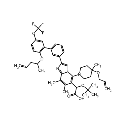 C=CCOC1(C)CCN(c2c(C(OC(C)(C)C)C(=O)O)c(C)c(C)c3nc(-c4cccc(-c5cc(OC(F)(F)F)ccc5OC(C)CC=C)c4)cn23)CC1